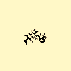 Cc1nn(-c2nc(C)c(C3CC3)c(=O)[nH]2)c(NC(=O)c2ccccc2C(F)(F)F)c1C